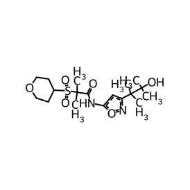 CC(C)(O)C(C)(C)c1cc(NC(=O)C(C)(C)S(=O)(=O)C2CCOCC2)on1